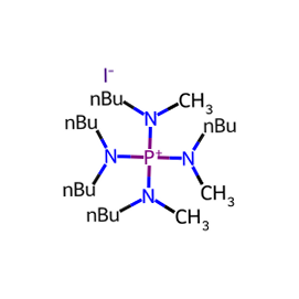 CCCCN(C)[P+](N(C)CCCC)(N(C)CCCC)N(CCCC)CCCC.[I-]